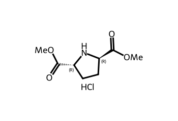 COC(=O)[C@H]1CC[C@H](C(=O)OC)N1.Cl